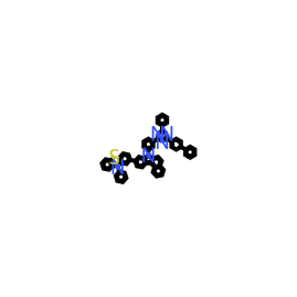 C1=CC(c2ccccc2)CC=C1c1nc(-c2ccccc2)nc(-c2cccc(-n3c4cc(-c5ccc6c(c5)N(c5ccccc5)c5ccccc5S6)ccc4c4c5ccccc5ccc43)c2)n1